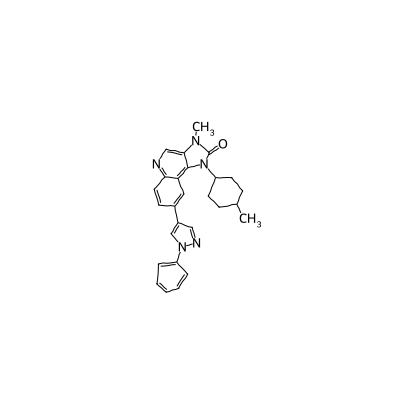 CC1CCC(n2c(=O)n(C)c3cnc4ccc(-c5cnn(-c6ccccc6)c5)cc4c32)CC1